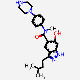 CC(C)CCc1n[nH]c2cc(O)c(C(=O)N(C)c3ccc(N4CCNCC4)cc3)cc12